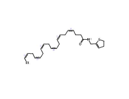 CC/C=C\C/C=C\C/C=C\C/C=C\C/C=C\C/C=C\CCC(=O)NCC1=CCCS1